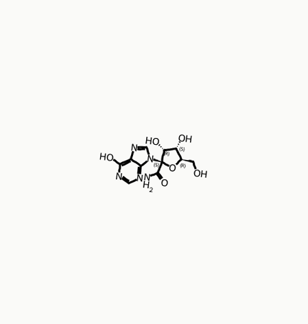 NC(=O)[C@@]1(n2cnc3c(O)ncnc32)O[C@H](CO)[C@@H](O)[C@H]1O